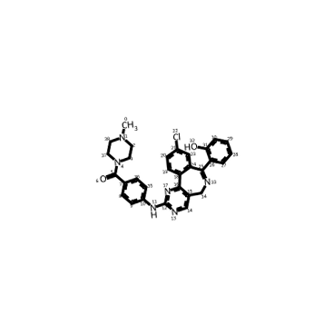 CN1CCN(C(=O)c2ccc(Nc3ncc4c(n3)-c3ccc(Cl)cc3C(c3ccccc3O)=NC4)cc2)CC1